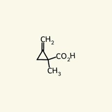 C=C1CC1(C)C(=O)O